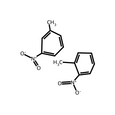 Cc1cccc([N+](=O)[O-])c1.Cc1ccccc1[N+](=O)[O-]